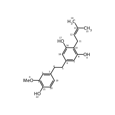 COc1cc(CCc2cc(O)c(CC=C(C)C)c(O)c2)ccc1O